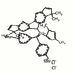 CC1=CC(C)[C]([Zr+2](=[C](c2ccc(C(C)(C)C)cc2)c2ccc(C(C)(C)C)cc2)[CH]2c3cc4c(cc3-c3cc5c(cc32)C(C)(C)C=C5)C=CC4(C)C)=C1.[Cl-].[Cl-]